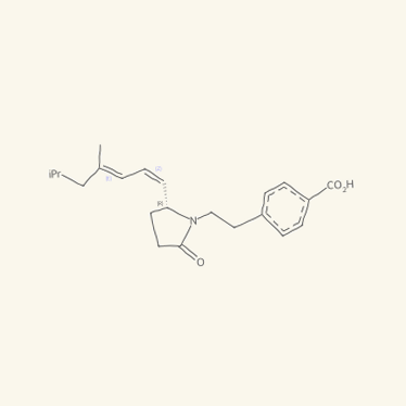 C/C(=C\C=C/[C@H]1CCC(=O)N1CCc1ccc(C(=O)O)cc1)CC(C)C